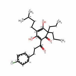 CCCC1(CCC)C(=O)C(C(=O)CCc2ccc(Cl)cc2)=C(O)C(CCC(C)C)=C1O